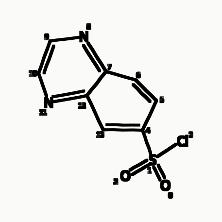 O=S(=O)(Cl)c1ccc2nccnc2c1